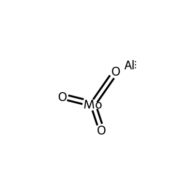 [Al].[O]=[Mo](=[O])=[O]